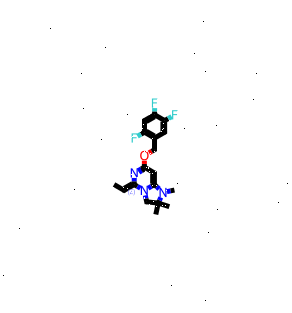 C/C=C1\N=C(OCc2cc(F)c(F)cc2F)C=C2N1CC(C)(C)N2C